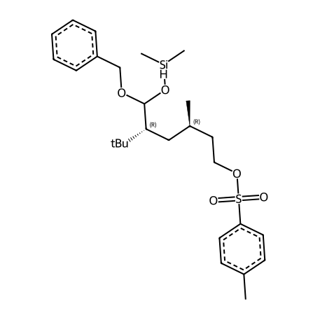 Cc1ccc(S(=O)(=O)OCC[C@H](C)C[C@@H](C(OCc2ccccc2)O[SiH](C)C)C(C)(C)C)cc1